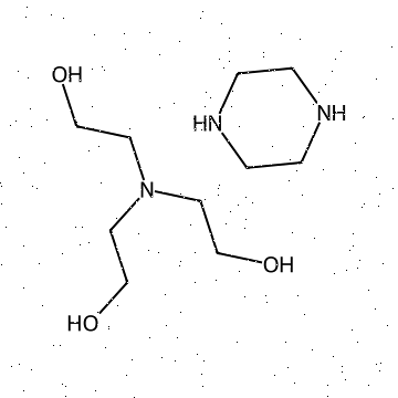 C1CNCCN1.OCCN(CCO)CCO